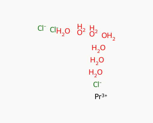 O.O.O.O.O.O.O.[Cl-].[Cl-].[Cl-].[Pr+3]